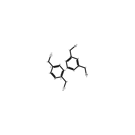 BrCc1cccc(CBr)c1.ClCc1ccc(CCl)cc1